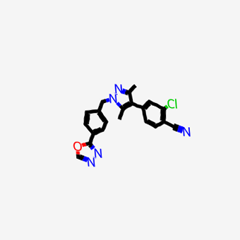 Cc1nn(Cc2ccc(-c3nnco3)cc2)c(C)c1-c1ccc(C#N)c(Cl)c1